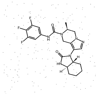 C[C@H]1Cn2ncc(N3C(=O)N[C@@H]4CCCC[C@H]43)c2CN1C(=O)Nc1cc(F)c(F)c(F)c1